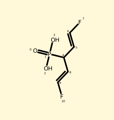 O=P(O)(O)C(C=CF)C=CF